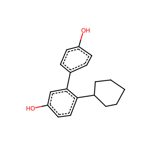 Oc1ccc(-c2cc(O)ccc2C2CCCCC2)cc1